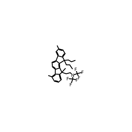 CCCC1(CCC)c2ccc(C)cc2-c2ccc3c(c21)C(C)(CCN(C(F)(F)F)C(F)(F)F)c1cccc(C)c1-3